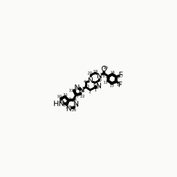 N#CCC(CN1CCN(C(=O)c2ccc(F)c(F)c2)CC1)n1cc(-c2ncnc3[nH]ccc23)cn1